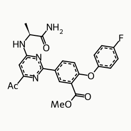 COC(=O)c1cc(-c2nc(N[C@@H](C)C(N)=O)cc(C(C)=O)n2)ccc1Oc1ccc(F)cc1